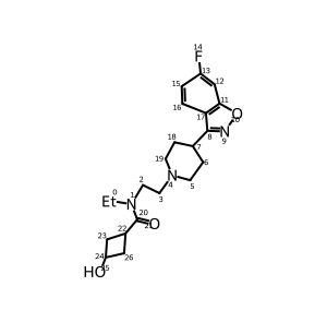 CCN(CCN1CCC(c2noc3cc(F)ccc23)CC1)C(=O)C1CC(O)C1